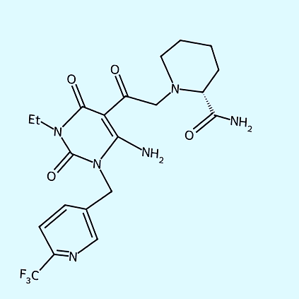 CCn1c(=O)c(C(=O)CN2CCCC[C@@H]2C(N)=O)c(N)n(Cc2ccc(C(F)(F)F)nc2)c1=O